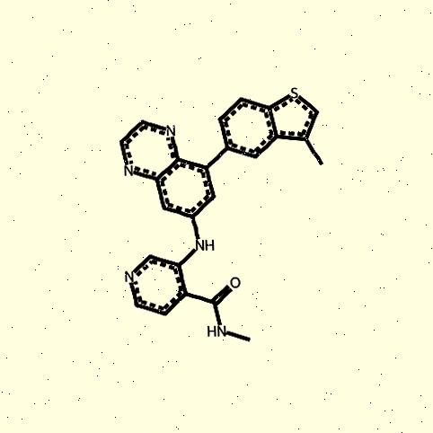 CNC(=O)c1ccncc1Nc1cc(-c2ccc3scc(C)c3c2)c2nccnc2c1